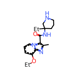 CCOc1cccn2c(C(=O)NC3(CC)CCCNC3)c(C)nc12